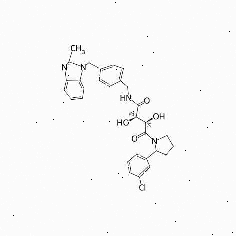 Cc1nc2ccccc2n1Cc1ccc(CNC(=O)[C@H](O)[C@@H](O)C(=O)N2CCCC2c2cccc(Cl)c2)cc1